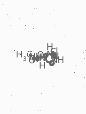 CCNC(=O)N1CC[C@@H](C(=O)Nc2ccc3cc2CCc2cccc(c2)Nc2ncc(Cl)c(n2)N3)C1